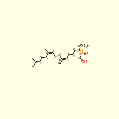 CC(C)=CCCC(C)=CCCC(C)=CCCCC([PH](=O)CO)S(=O)(=O)O